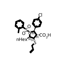 C=CCS[C@H]1[C@@H](C(=O)O)[C@H](c2ccc(Cl)cc2)N(S(=O)(=O)c2ccccc2C)[C@@H]1CCCCCC